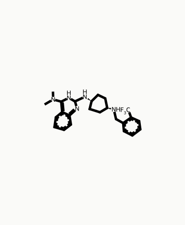 CN(C)C1=c2ccccc2=NC(N[C@H]2CC[C@@H](NCc3ccccc3C(F)(F)F)CC2)N1